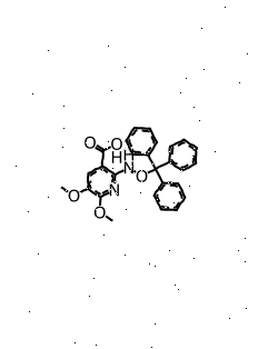 COc1cc(C(=O)O)c(NOC(c2ccccc2)(c2ccccc2)c2ccccc2)nc1OC